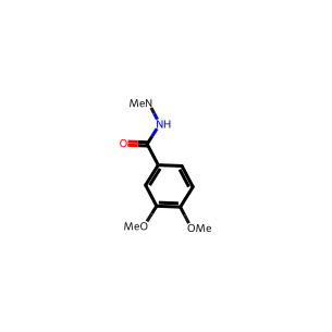 CNNC(=O)c1ccc(OC)c(OC)c1